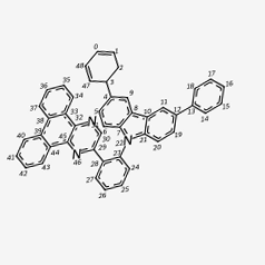 C1=CCC(c2ccc3c(c2)c2cc(-c4ccccc4)ccc2n3-c2ccccc2-c2cnc3c4ccccc4c4ccccc4c3n2)C=C1